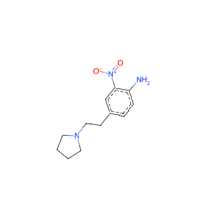 Nc1ccc(CCN2CCCC2)cc1[N+](=O)[O-]